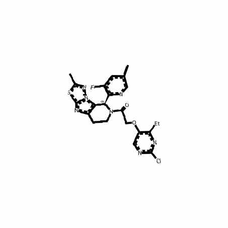 CCc1nc(Cl)ncc1OCC(=O)N1CCc2nc3sc(C)nn3c2[C@H]1c1ncc(C)cc1F